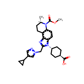 COC(=O)N1c2ccc3c(nc(Cn4cc(C5CC5)cn4)n3[C@H]3CC[C@H](C(=O)O)CC3)c2CC[C@@H]1C